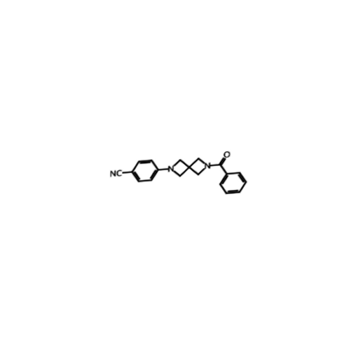 N#Cc1ccc(N2CC3(CN(C(=O)c4ccccc4)C3)C2)cc1